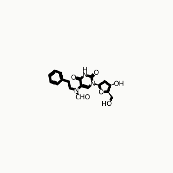 O=CN(CCc1ccccc1)c1cn([C@H]2C[C@H](O)[C@@H](CO)O2)c(=O)[nH]c1=O